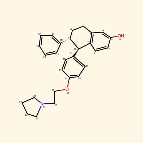 Oc1ccc2c(c1)CC[C@@H](c1ccccc1)[C@@H]2c1ccc(OCCN2CCCC2)cc1